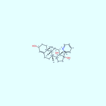 C[C@]12CCC(O)C=C1CC[C@@H]1[C@H]2CC[C@]2(C)C(O)(c3ccccn3)CC[C@@]12O